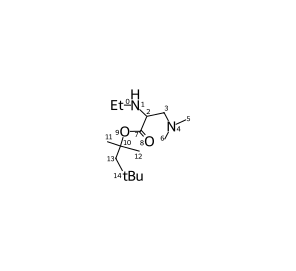 CCNC(CN(C)C)C(=O)OC(C)(C)CC(C)(C)C